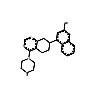 Oc1cc(C2CCc3c(ncnc3N3CCNCC3)C2)c2ccccc2c1